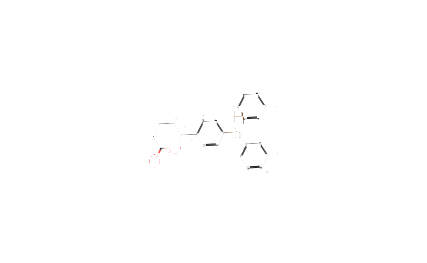 O=C1CCCC(c2ccc([SH](c3ccccc3)c3ccccc3)cc2)O1